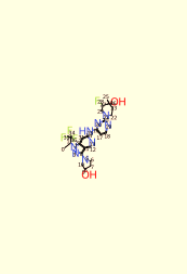 CC(n1nc(N2CC[C@@H](O)C2)c2cnc(Nc3ccnc(N4CCC(C)(O)C(F)C4)n3)cc21)C(F)(F)F